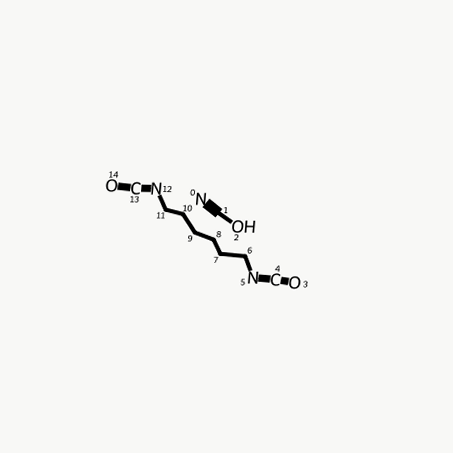 N#CO.O=C=NCCCCCCN=C=O